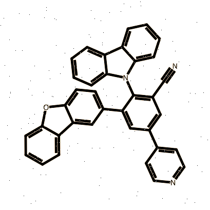 N#Cc1cc(-c2ccncc2)cc(-c2ccc3oc4ccccc4c3c2)c1-n1c2ccccc2c2ccccc21